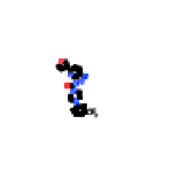 O=C(N1CCN(c2cccc(C(F)(F)F)c2)CC1)n1nnc2ccc(-c3ccoc3)nc21